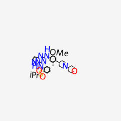 COc1cc(C2CCN(C3CCOCC3)CC2)c(C)cc1Nc1nc(Nc2ccccc2S(=O)(=O)C(C)C)n2nccc2n1